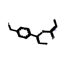 CC=C(S/C(F)=C\C)c1ccc(CI)cc1